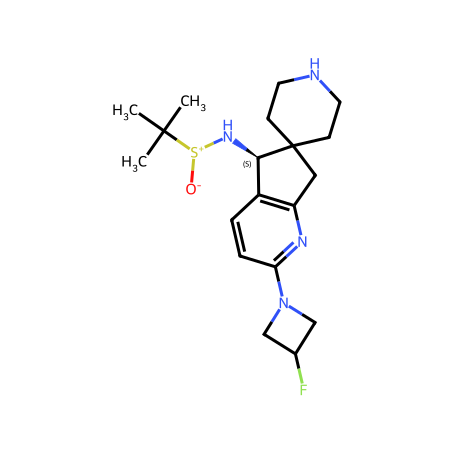 CC(C)(C)[S+]([O-])N[C@@H]1c2ccc(N3CC(F)C3)nc2CC12CCNCC2